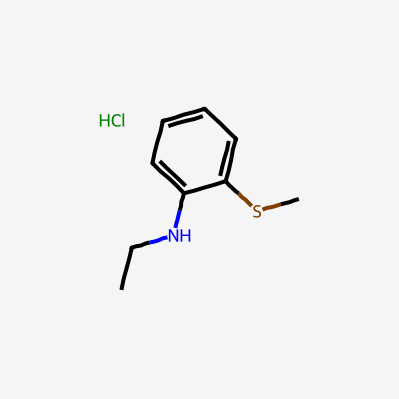 CCNc1ccccc1SC.Cl